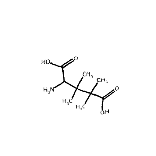 CC(C)(C(=O)O)C(C)(C)C(N)C(=O)O